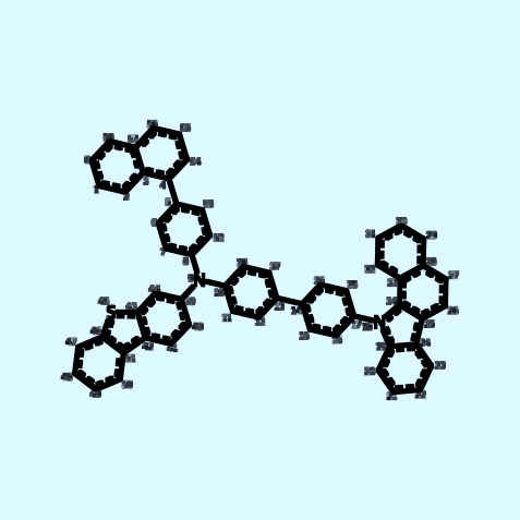 c1ccc2c(-c3ccc(N(c4ccc(-c5ccc(-n6c7ccccc7c7ccc8ccccc8c76)cc5)cc4)c4ccc5c(c4)sc4ccccc45)cc3)cccc2c1